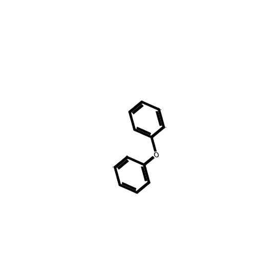 [c]1[c]c(Oc2[c][c]ccc2)ccc1